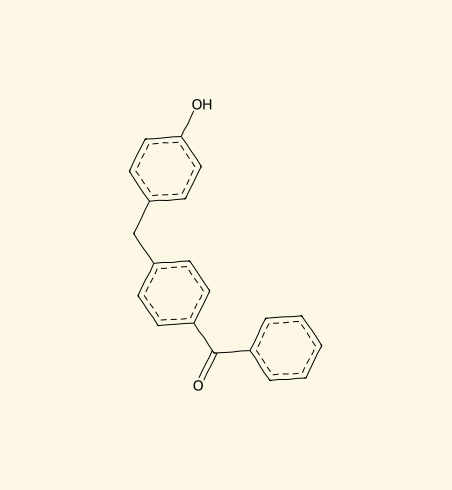 O=C(c1ccccc1)c1ccc(Cc2ccc(O)cc2)cc1